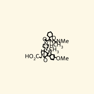 CN[C@@H](C)C(=O)N[C@H](C(=O)N1CCN(C(=O)c2c(C(=O)NCC(=O)O)c3ccc(OC)cc3n2C)CC1)C1CCCCC1